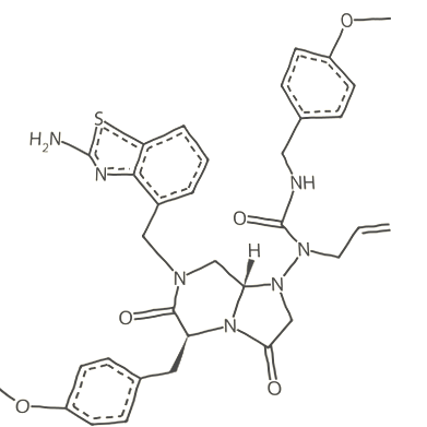 C=CCN(C(=O)NCc1ccc(OC)cc1)N1CC(=O)N2[C@@H](Cc3ccc(OC)cc3)C(=O)N(Cc3cccc4sc(N)nc34)C[C@@H]21